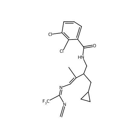 C=N/C(=N\C=C(/C)C(CNC(=O)c1cccc(Cl)c1Cl)CC1CC1)C(F)(F)F